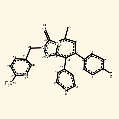 Cc1cc(-c2ccc(Cl)cc2)c(-c2ccncc2)c2nn(Cc3ccc(C(F)(F)F)nc3)c(=O)n12